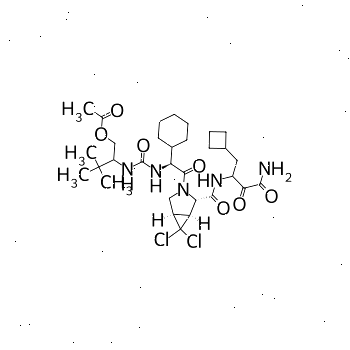 CC(=O)OCC(NC(=O)N[C@H](C(=O)N1C[C@H]2[C@@H]([C@H]1C(=O)NC(CC1CCC1)C(=O)C(N)=O)C2(Cl)Cl)C1CCCCC1)C(C)(C)C